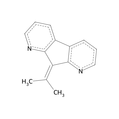 CC(C)=C1c2ncccc2-c2cccnc21